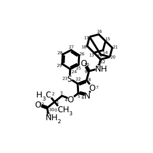 CC(C)(COc1noc(C(=O)NC2C3CC4CC(C3)CC2C4)c1Sc1ccccc1)C(N)=O